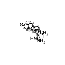 C[C@H](CNC(=N)N)[C@H]1CCC2C3C=CC4=CC(=O)CC[C@]4(C)C3CC[C@@]21C